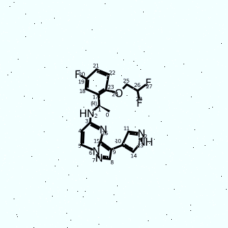 C[C@@H](Nc1ccn2ncc(-c3cn[nH]c3)c2n1)c1cc(F)ccc1OCC(F)F